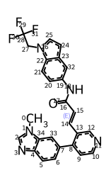 Cn1cnc2ccc(-c3ccncc3/C=C/C(=O)Nc3ccc4c(ccn4CC(F)(F)F)c3)cc21